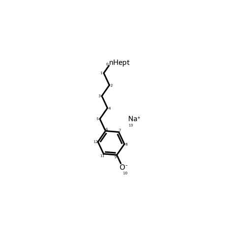 CCCCCCCCCCCCc1ccc([O-])cc1.[Na+]